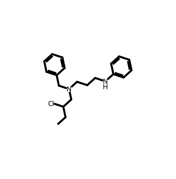 CCC(Cl)CN(CCCNc1ccccc1)Cc1ccccc1